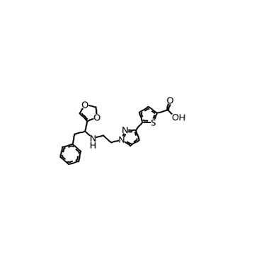 O=C(O)c1ccc(-c2ccn(CCNC(Cc3ccccc3)C3=COCO3)n2)s1